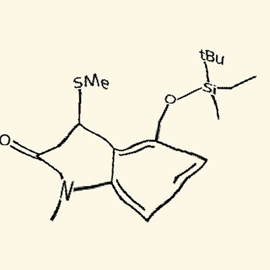 CSC1C(=O)N(C)c2cccc(O[Si](C)(C)C(C)(C)C)c21